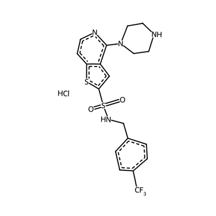 Cl.O=S(=O)(NCc1ccc(C(F)(F)F)cc1)c1cc2c(N3CCNCC3)nccc2s1